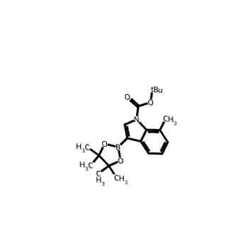 Cc1cccc2c(B3OC(C)(C)C(C)(C)O3)cn(C(=O)OC(C)(C)C)c12